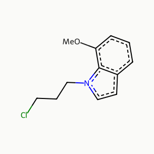 COc1cccc2ccn(CCCCl)c12